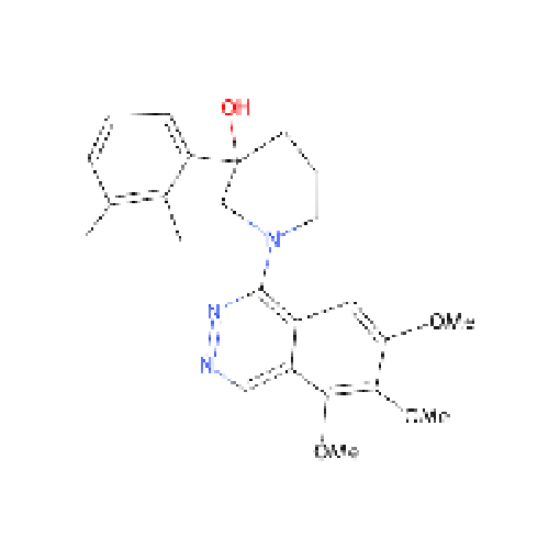 COc1cc2c(N3CCCC(O)(c4cccc(C)c4C)C3)nncc2c(OC)c1OC